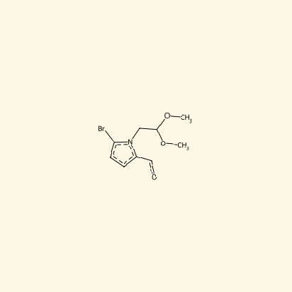 COC(Cn1c(Br)ccc1C=O)OC